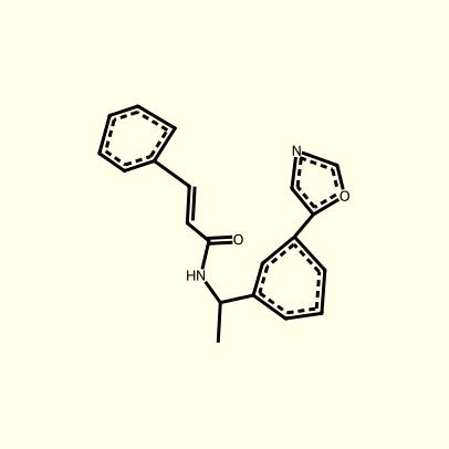 CC(NC(=O)C=Cc1ccccc1)c1cccc(-c2cnco2)c1